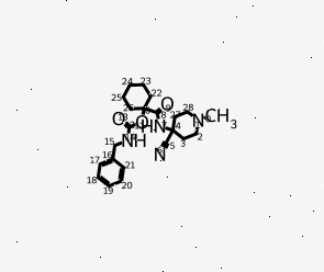 CN1CCC(C#N)(NC(=O)C2(OC(=O)NCc3ccccc3)CCCCC2)CC1